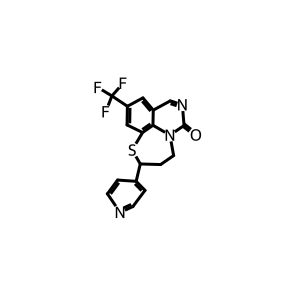 O=c1ncc2cc(C(F)(F)F)cc3c2n1CCC(c1ccncc1)S3